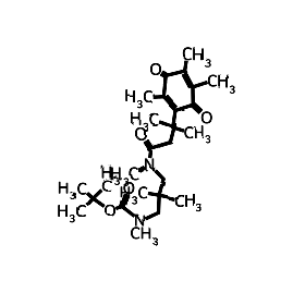 CC1=C(C)C(=O)C(C(C)(C)CC(=O)N(C)CC(C)(C)CN(C)C(=O)OC(C)(C)C)=C(C)C1=O